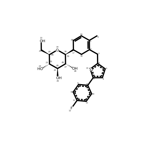 CC1=C(Cc2ccc(-c3ccc(F)cc3)s2)CC([C@@H]2O[C@H](CO)[C@@H](O)[C@H](O)[C@H]2O)C=C1